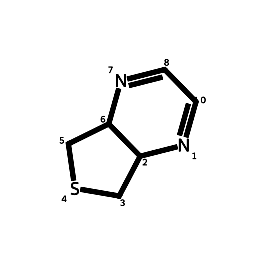 [C]1=NC2CSCC2N=C1